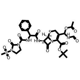 CC(=O)OC(NC=O)C1=C(C(=O)OC(C)(C)C)N2C(=O)[C@@H](NC(=O)C(NC(=O)N3CCN(S(C)(=O)=O)C3=O)c3ccccc3)[C@H]2SC1